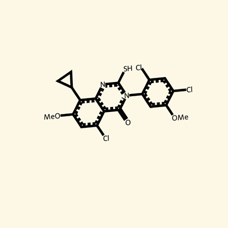 COc1cc(-n2c(S)nc3c(C4CC4)c(OC)cc(Cl)c3c2=O)c(Cl)cc1Cl